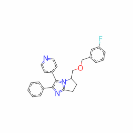 Fc1cccc(COCC2CCc3nc(-c4ccccc4)c(-c4ccncc4)n32)c1